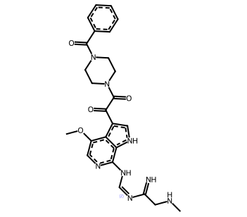 CNCC(=N)/N=C\Nc1ncc(OC)c2c(C(=O)C(=O)N3CCN(C(=O)c4ccccc4)CC3)c[nH]c12